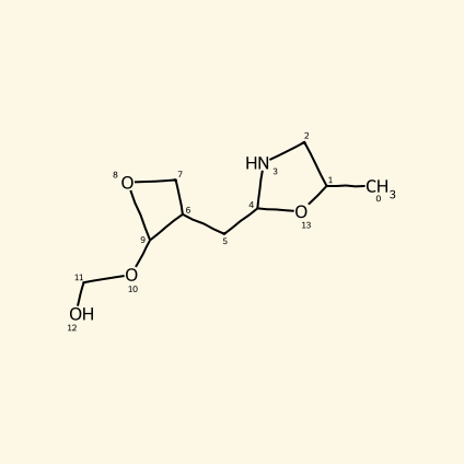 CC1CNC(CC2COC2OCO)O1